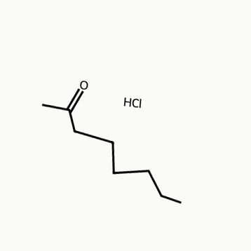 CCCCCCC(C)=O.Cl